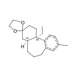 CC[C@@]12CCC3(C[C@@H]1CCCc1cc(C)ccc12)OCCO3